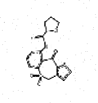 O=C1c2sccc2CS(=O)(=O)c2cccc(NC(=O)C3CCCO3)c21